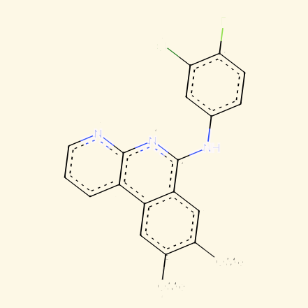 COc1cc2c(Nc3ccc(F)c(Cl)c3)nc3ncccc3c2cc1OC